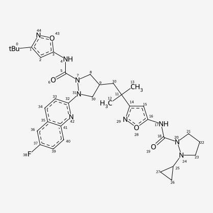 CC(C)(C)c1cc(NC(=O)N2CC(CC(C)(C)c3cc(NC(=O)N4CCCN4C4CC4)on3)CN2c2ccc3cc(F)ccc3n2)on1